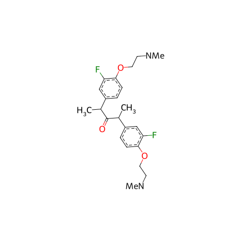 CNCCOc1ccc(C(C)C(=O)C(C)c2ccc(OCCNC)c(F)c2)cc1F